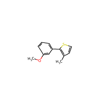 COc1cccc(-c2sccc2C)c1